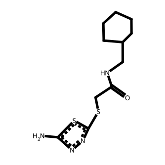 Nc1nnc(SCC(=O)NCC2CCCCC2)s1